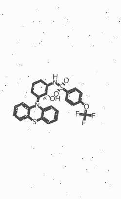 O=S(=O)(NC1CCCC(N2c3ccccc3Sc3ccccc32)[C@H]1O)c1ccc(OC(F)(F)F)cc1